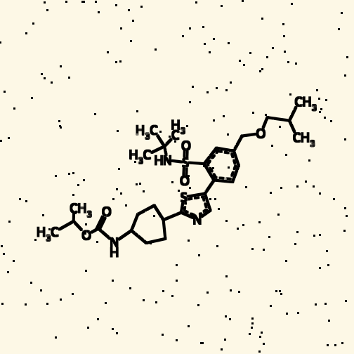 CC(C)COCc1ccc(-c2cnc(C3CCC(NC(=O)OC(C)C)CC3)s2)c(S(=O)(=O)NC(C)(C)C)c1